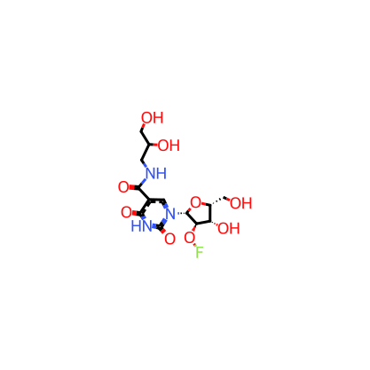 O=C(NCC(O)CO)c1cn([C@@H]2O[C@H](CO)[C@H](O)[C@H]2OF)c(=O)[nH]c1=O